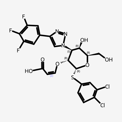 O=C(O)/C=C\O[C@@H]1[C@@H](n2cc(-c3cc(F)c(F)c(F)c3)nn2)[C@@H](O)[C@@H](CO)O[C@@H]1Sc1ccc(Cl)c(Cl)c1